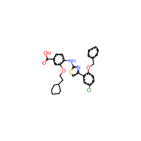 O=C(O)c1ccc(Nc2nc(-c3cc(Cl)ccc3OCc3ccccc3)cs2)c(OCCC2CCCCC2)c1